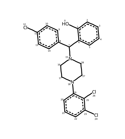 Oc1ccccc1C(c1ccc(Cl)cc1)N1CCN(c2cccc(Cl)c2Cl)CC1